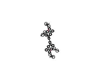 CCOCCOc1ccc(C2(c3ccc(OCC4(CC)COC4)cc3)c3ccccc3-c3ccc(N(c4ccccc4)c4ccc(-c5ccc(N(c6ccccc6)c6ccc7c(c6)C(c6ccc(OCCOCC)cc6)(c6ccc(OCC8(CC)COC8)cc6)c6ccccc6-7)cc5)cc4)cc32)cc1